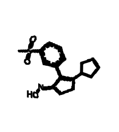 CS(=O)(=O)c1cccc(C2=C(C3CCCC3)CCC2=NO)c1